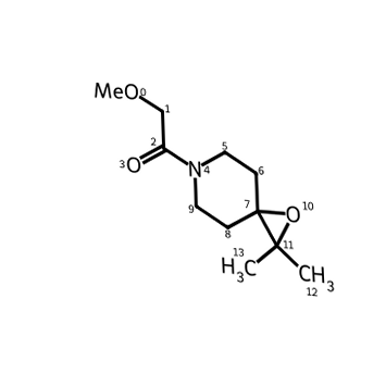 COCC(=O)N1CCC2(CC1)OC2(C)C